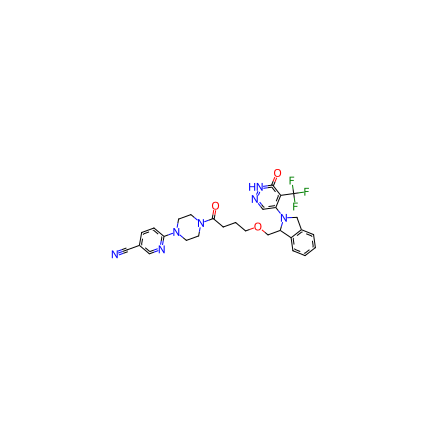 N#Cc1ccc(N2CCN(C(=O)CCCOCC3c4ccccc4CN3c3cn[nH]c(=O)c3C(F)(F)F)CC2)nc1